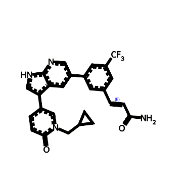 NC(=O)/C=C/c1cc(-c2cnc3[nH]cc(-c4ccc(=O)n(CC5CC5)c4)c3c2)cc(C(F)(F)F)c1